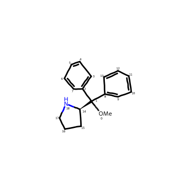 COC(c1ccccc1)(c1ccccc1)[C@H]1CCCN1